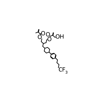 C=C(C)C(=O)OCCC(CCOC(=O)C(=C)CO)CC1CCC(c2ccc(CCCCC(F)(F)F)cc2)CC1